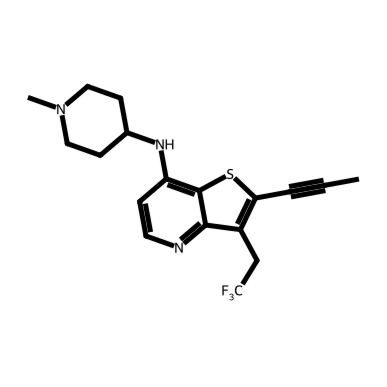 CC#Cc1sc2c(NC3CCN(C)CC3)ccnc2c1CC(F)(F)F